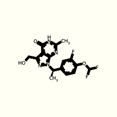 Cc1nc2c(c(CO)nn2[C@H](C)c2ccc(OC(F)F)c(F)c2)c(=O)[nH]1